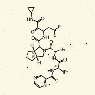 CC(C)C(NC(=O)[C@H](NC(=O)c1cnccn1)C(C)C)C(=O)N1C[C@@H]2CCC[C@@H]2C1C(=O)NC(CC(F)F)C(=O)C(=O)NC1CC1